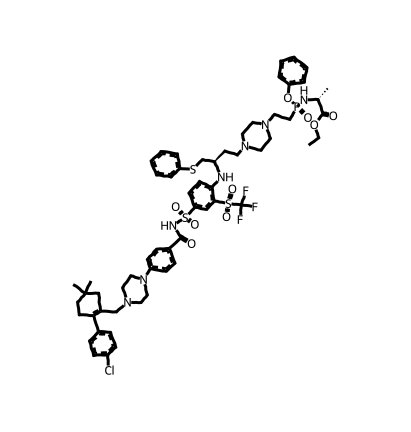 CCOC(=O)[C@@H](C)NP(=O)(CCN1CCN(CC[C@H](CSc2ccccc2)Nc2ccc(S(=O)(=O)NC(=O)c3ccc(N4CCN(CC5=C(c6ccc(Cl)cc6)CCC(C)(C)C5)CC4)cc3)cc2S(=O)(=O)C(F)(F)F)CC1)Oc1ccccc1